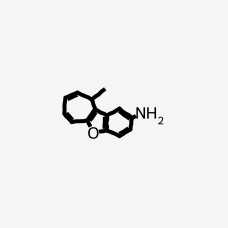 CC1C=CC=Cc2oc3ccc(N)cc3c21